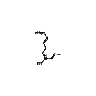 CC=C[SiH](CCC)CCC=NCCCCCCC